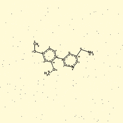 COc1ccc(-c2cncc(CN)c2)c(OC)c1